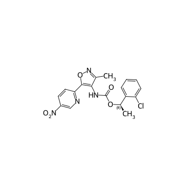 Cc1noc(-c2ccc([N+](=O)[O-])cn2)c1NC(=O)O[C@H](C)c1ccccc1Cl